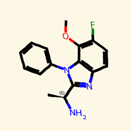 COc1c(F)ccc2nc([C@H](C)N)n(-c3ccccc3)c12